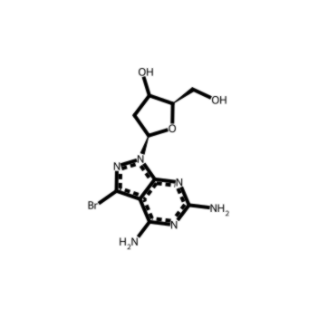 Nc1nc(N)c2c(Br)nn([C@H]3CC(O)[C@@H](CO)O3)c2n1